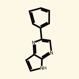 c1ccc(-c2cnc3[nH]ccc3n2)cc1